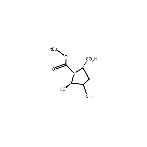 CC1C[C@@H](C(=O)O)N(C(=O)OC(C)(C)C)[C@@H]1C